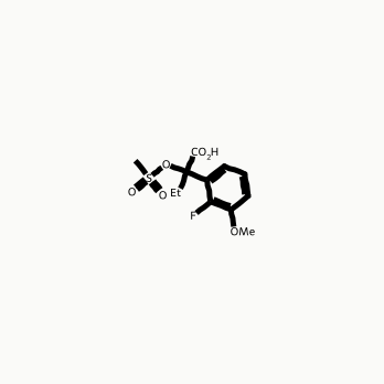 CCC(OS(C)(=O)=O)(C(=O)O)c1cccc(OC)c1F